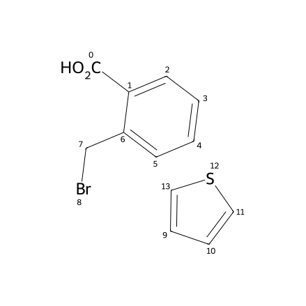 O=C(O)c1ccccc1CBr.c1ccsc1